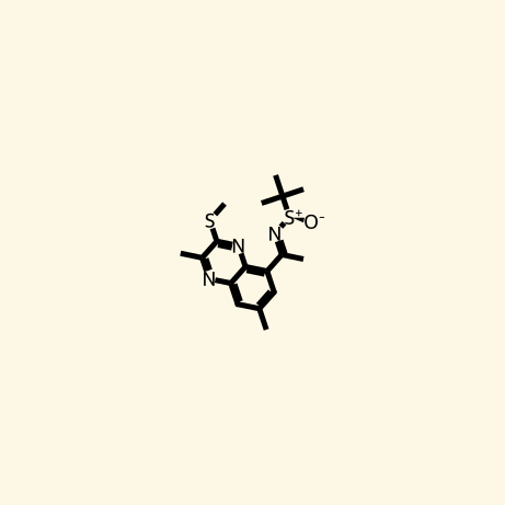 CSc1nc2c(C(C)=N[S@+]([O-])C(C)(C)C)cc(C)cc2nc1C